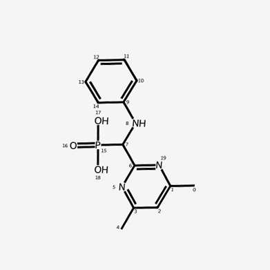 Cc1cc(C)nc(C(Nc2ccccc2)P(=O)(O)O)n1